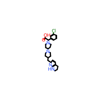 O=C(O)C(c1cccc(Cl)c1)N1CCC(N2CCC(Cc3ccc4c(n3)NCCC4)CC2)CC1